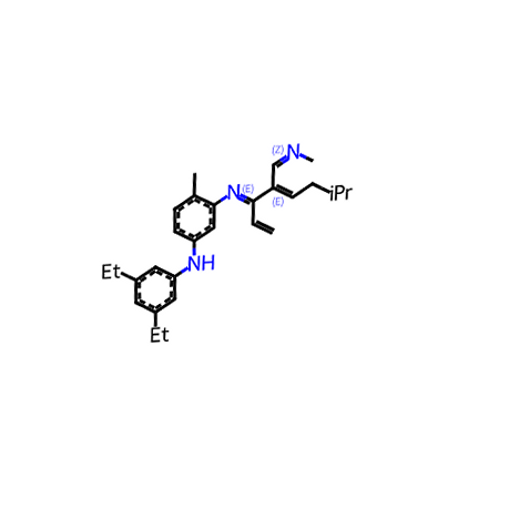 C=CC(=N\c1cc(Nc2cc(CC)cc(CC)c2)ccc1C)/C(/C=N\C)=C/CC(C)C